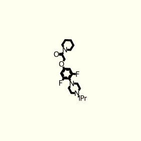 CC(C)N1CCN(c2c(F)cc(OCC(=O)N3CCCCC3)cc2F)CC1